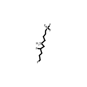 FCCCC(F)C[SiH2]CCCC[Si](F)(F)F